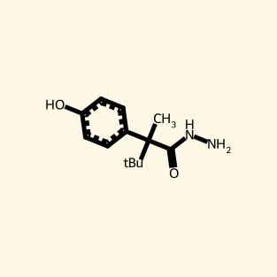 CC(C)(C)C(C)(C(=O)NN)c1ccc(O)cc1